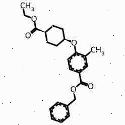 CCOC(=O)[C@H]1CC[C@@H](Oc2ccc(C(=O)OCc3ccccc3)cc2C)CC1